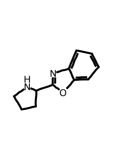 c1ccc2oc(C3CCCN3)nc2c1